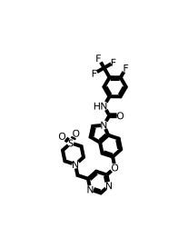 O=C(Nc1ccc(F)c(C(F)(F)F)c1)n1ccc2cc(Oc3cc(CN4CCS(=O)(=O)CC4)ncn3)ccc21